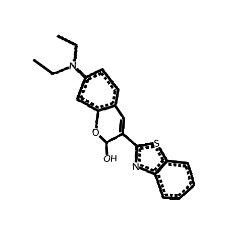 CCN(CC)c1ccc2c(c1)OC(O)C(c1nc3ccccc3s1)=C2